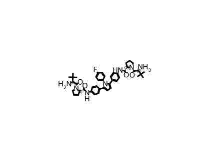 CC(C)(C)[C@H](N)C(=O)N1CCC[C@H]1C(=O)Nc1ccc(-c2ccc(-c3ccc(NC(=O)[C@@H]4CCCN4C(=O)[C@@H](N)C(C)(C)C)cc3)n2-c2ccc(F)cc2)cc1